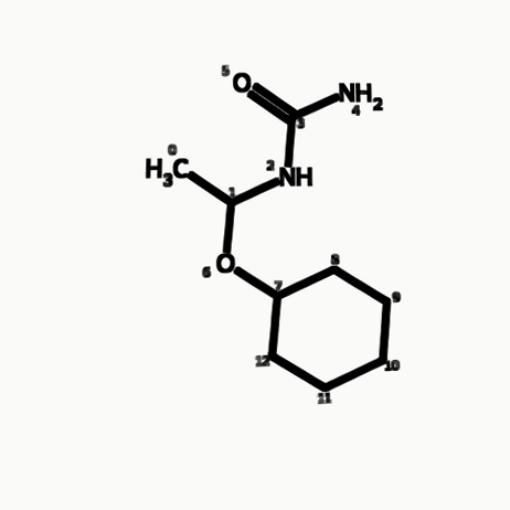 CC(NC(N)=O)OC1CCCCC1